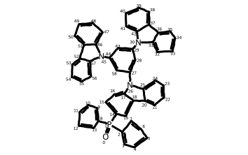 O=P(c1ccccc1)(c1ccccc1)c1ccc2c(c1)c1ccccc1n2-c1cc(-n2c3ccccc3c3ccccc32)cc(-n2c3ccccc3c3ccccc32)c1